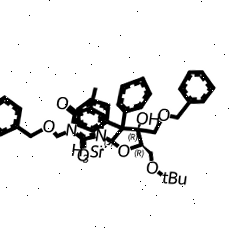 Cc1cn([C@]2([SiH3])O[C@H](COC(C)(C)C)[C@](O)(COCc3ccccc3)C2(c2ccccc2)c2ccccc2)c(=O)n(COCc2ccccc2)c1=O